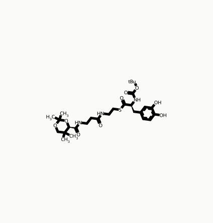 CC(C)(C)OC(=O)N[C@@H](Cc1ccc(O)c(O)c1)C(=O)SCCNC(=O)CCNC(=O)[C@@H]1OC(C)(C)OCC1(C)C